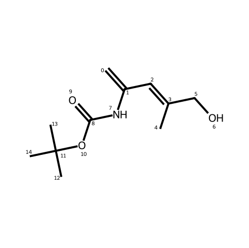 C=C(/C=C(\C)CO)NC(=O)OC(C)(C)C